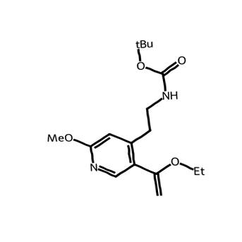 C=C(OCC)c1cnc(OC)cc1CCNC(=O)OC(C)(C)C